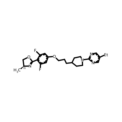 CCc1cnc(N2CCC(CCCOc3cc(F)c(C4=N[C@@H](C)CO4)c(F)c3)CC2)nc1